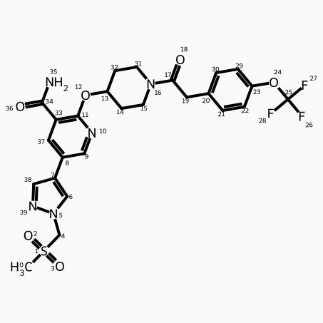 CS(=O)(=O)Cn1cc(-c2cnc(OC3CCN(C(=O)Cc4ccc(OC(F)(F)F)cc4)CC3)c(C(N)=O)c2)cn1